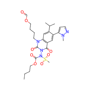 CCCCOC(=O)N(n1c(=O)c2cc(-c3ccnn3C)c(C(C)C)cc2n(CCCCOC=O)c1=O)S(C)(=O)=O